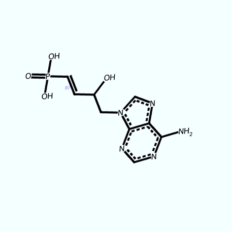 Nc1ncnc2c1ncn2CC(O)/C=C/P(=O)(O)O